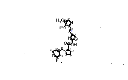 CC(C)c1c(/C=C/c2csc(NC(=O)c3cccn3Cc3ccnc(F)c3)n2)ncn1C